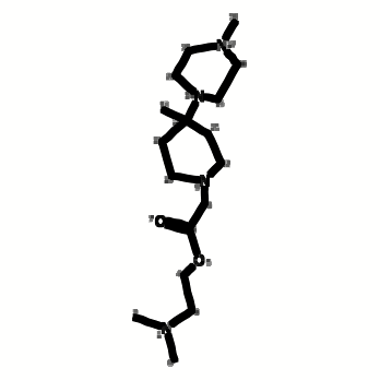 CN(C)CCOC(=O)CN1CCC(C)(N2CCN(C)CC2)CC1